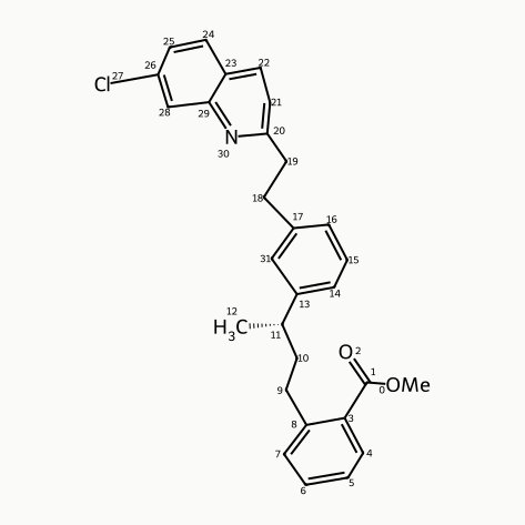 COC(=O)c1ccccc1CC[C@H](C)c1cccc(CCc2ccc3ccc(Cl)cc3n2)c1